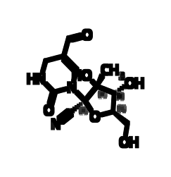 C[C@@]1(O)[C@H](O)[C@@H](CO)O[C@@]1(C#N)N1C=C(C=O)CNC1=O